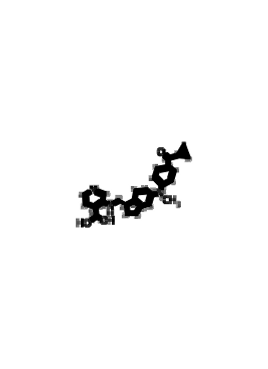 CN(c1ccc(C(=O)C2CC2)cc1)c1ccc2c(c1)CC[C@H]2CNc1cnccc1C(O)O